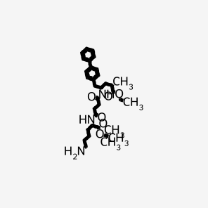 CCOC(=O)C(C)CC(Cc1ccc(-c2ccccc2)cc1)NC(=O)CCC(=O)NC(CCCCN)C(=O)OC(C)(C)C